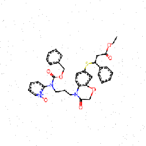 CCOC(=O)CC(Sc1ccc2c(c1)OCC(=O)N2CCCN(C(=O)OCc1ccccc1)c1cccc[n+]1[O-])c1ccccc1